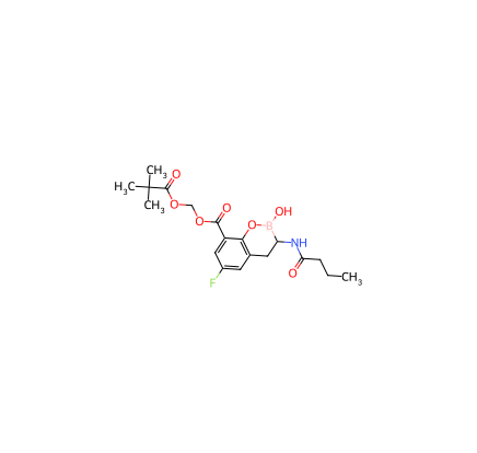 CCCC(=O)NC1Cc2cc(F)cc(C(=O)OCOC(=O)C(C)(C)C)c2OB1O